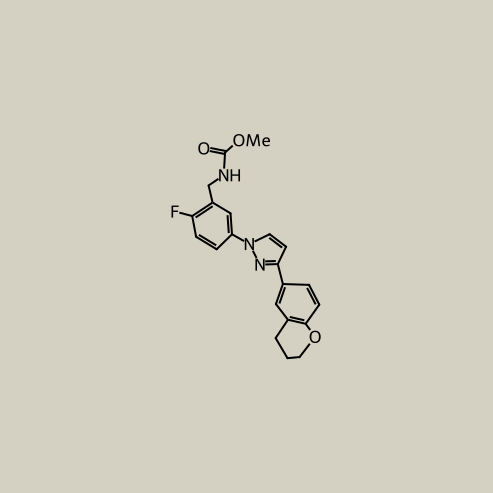 COC(=O)NCc1cc(-n2ccc(-c3ccc4c(c3)CCCO4)n2)ccc1F